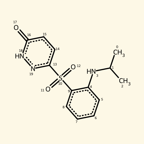 CC(C)Nc1ccccc1S(=O)(=O)c1ccc(=O)[nH]n1